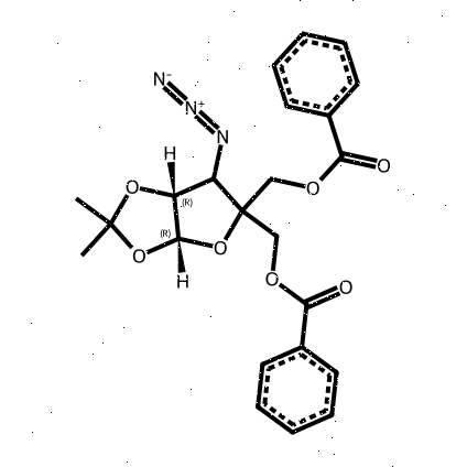 CC1(C)O[C@H]2OC(COC(=O)c3ccccc3)(COC(=O)c3ccccc3)C(N=[N+]=[N-])[C@H]2O1